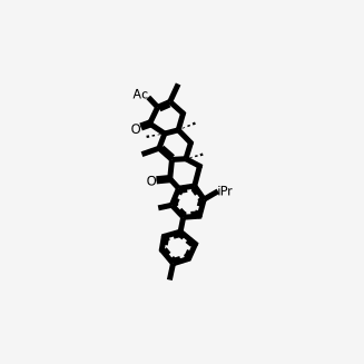 CC(=O)C1=C(C)C[C@@]2(C)C[C@@]3(C)Cc4c(C(C)C)cc(-c5ccc(C)cc5)c(C)c4C(=O)C3=C(C)[C@@]2(C)C1=O